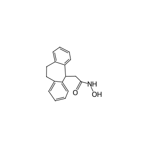 O=C(CC1c2ccccc2CCc2ccccc21)NO